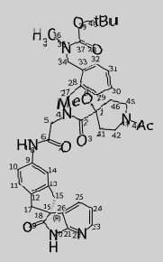 COC1(C(=O)N(CC(=O)Nc2ccc3c(c2)C[C@@]2(C3)C(=O)Nc3ncccc32)Cc2ccccc2CN(C)C(=O)OC(C)(C)C)CCN(C(C)=O)CC1